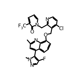 Cc1cc(-c2c(F)cnn2C)c2cccc(OCc3c(Cl)ccnc3Cn3cccc(C(F)(F)F)c3=O)c2n1